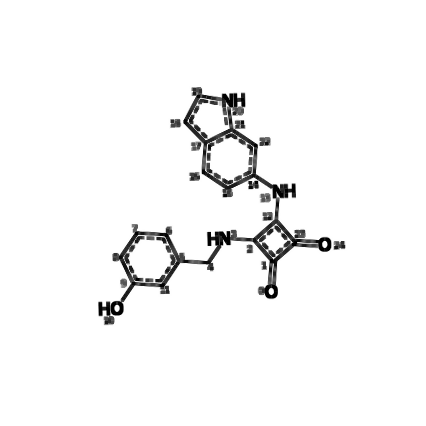 O=c1c(NCc2cccc(O)c2)c(Nc2ccc3cc[nH]c3c2)c1=O